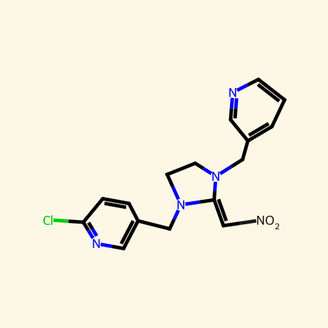 O=[N+]([O-])/C=C1\N(Cc2cccnc2)CCN1Cc1ccc(Cl)nc1